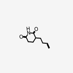 C=CCCC1CCC(=O)NC1=O